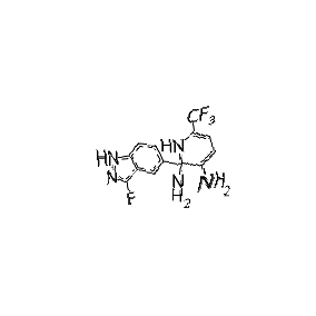 NC1=CC=C(C(F)(F)F)NC1(N)c1ccc2[nH]nc(F)c2c1